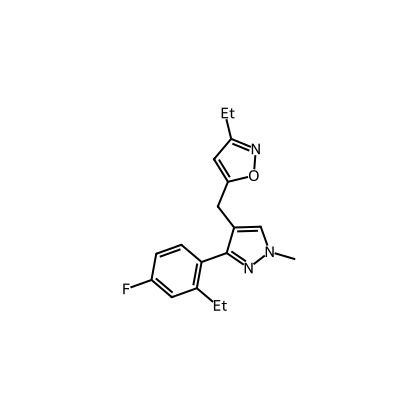 CCc1cc(Cc2cn(C)nc2-c2ccc(F)cc2CC)on1